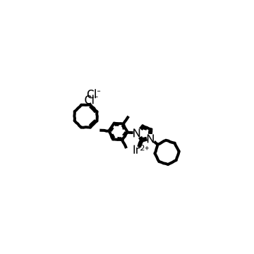 C1=C\CCCC\C=C/1.Cc1cc(C)c(-n2ccn(C3CCCCCCC3)[c]2=[Ir+2])c(C)c1.[Cl-].[Cl-]